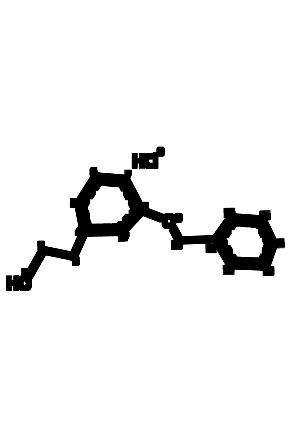 Cl.OCCc1cccc(OCc2ccccc2)c1